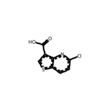 O=C(O)c1csc2ccc(Cl)nc12